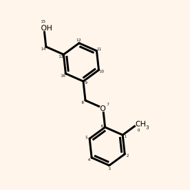 Cc1ccccc1OCc1cccc(CO)c1